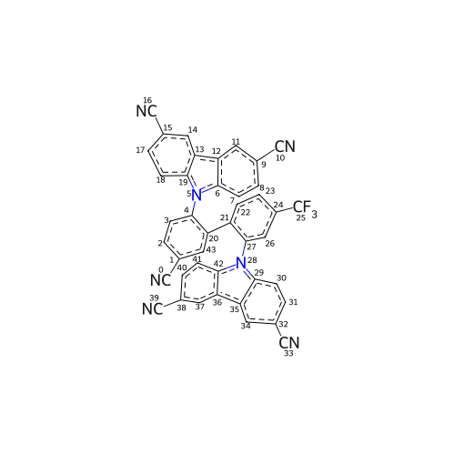 N#Cc1ccc(-n2c3ccc(C#N)cc3c3cc(C#N)ccc32)c(-c2ccc(C(F)(F)F)cc2-n2c3ccc(C#N)cc3c3cc(C#N)ccc32)c1